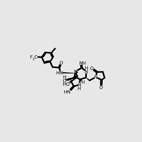 Cc1cc(CC(=O)N[C@H]2CN3C(=N)N[C@@H](CN4C(=O)CCC4=O)[C@@H]4NC(=N)N[C@@]43C2(O)O)cc(C(F)(F)F)c1